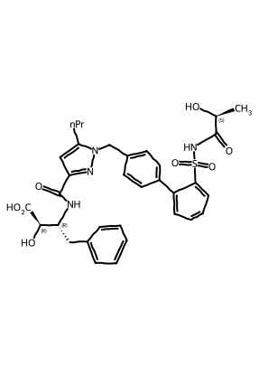 CCCc1cc(C(=O)N[C@H](Cc2ccccc2)[C@@H](O)C(=O)O)nn1Cc1ccc(-c2ccccc2S(=O)(=O)NC(=O)[C@H](C)O)cc1